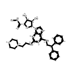 CCNC(=O)[C@H]1O[C@@H](n2cnc3c(NCC(c4ccccc4)c4ccccc4)nc(NCCN4CCOCC4)nc32)[C@H](O)[C@@H]1O